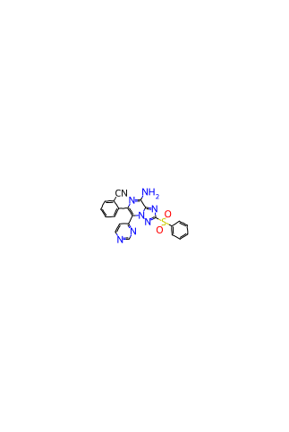 N#Cc1ccccc1-c1nc(N)c2nc(S(=O)(=O)c3ccccc3)nn2c1-c1ccncn1